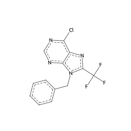 FC(F)(F)c1nc2c(Cl)ncnc2n1Cc1ccccc1